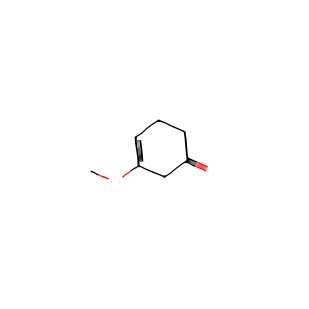 COC1=CCCC(=O)C1